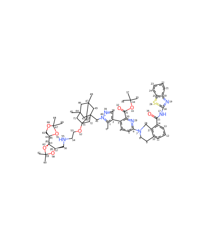 Cc1c(-c2ccc(N3CCc4cccc(C(=O)Nc5nc6ccccc6s5)c4C3)nc2C(=O)OC(C)(C)C)cnn1CC12CC3(C)CC(C)(C1)CC(OCCNC[C@H]1OC(C)(C)O[C@H]1[C@H]1COC(C)(C)O1)(C3)C2